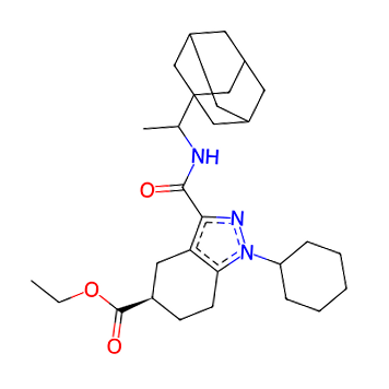 CCOC(=O)[C@@H]1CCc2c(c(C(=O)NC(C)C34CC5CC(CC(C5)C3)C4)nn2C2CCCCC2)C1